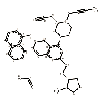 CC#CCN1CCN(c2nc(OC[C@@H]3CCCN3C)nc3c2CCC(c2cccc4cccc(Cl)c24)=C3)C[C@@H]1CC#N.O=CO